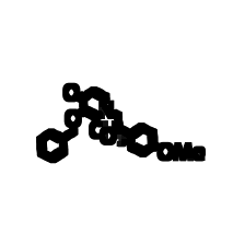 COc1ccc(C(=O)Cn2ccc(=O)c(OCc3ccccc3)c2C)cc1